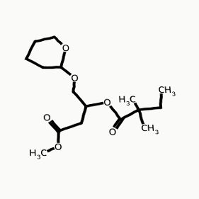 CCC(C)(C)C(=O)OC(COC1CCCCO1)CC(=O)OC